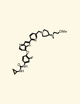 COCCN(C)C1CCN(Cc2ccc(-c3cc4nccc(Oc5ccc(NC(=O)NC6CC6)cc5F)c4s3)nc2)CC1